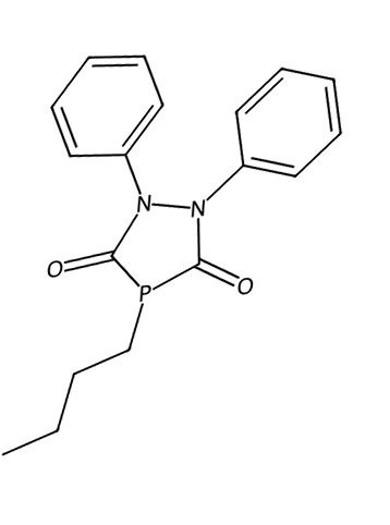 CCCCp1c(=O)n(-c2ccccc2)n(-c2ccccc2)c1=O